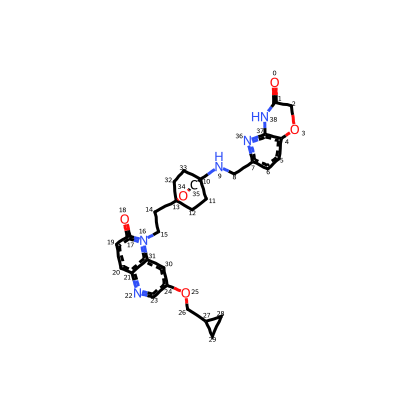 O=C1COc2ccc(CNC34CCC(CCn5c(=O)ccc6ncc(OCC7CC7)cc65)(CC3)OC4)nc2N1